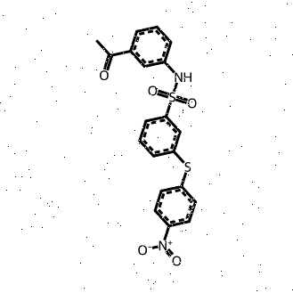 CC(=O)c1cccc(NS(=O)(=O)c2cccc(Sc3ccc([N+](=O)[O-])cc3)c2)c1